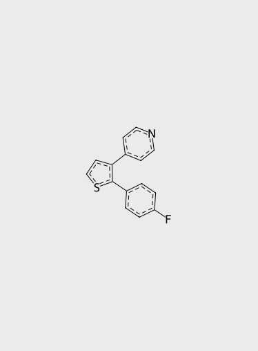 Fc1ccc(-c2sccc2-c2ccncc2)cc1